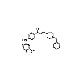 O=C(/C=C/C1CCN(Cc2ccccc2)CC1)c1ccc(Nc2ncc3c(n2)C(F)CC3)cc1